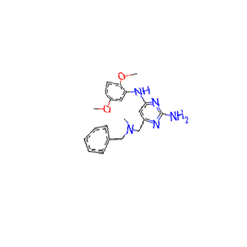 COc1ccc(OC)c(Nc2cc(CN(C)Cc3ccccc3)nc(N)n2)c1